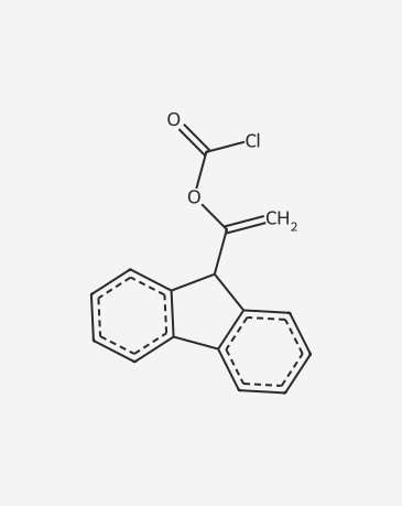 C=C(OC(=O)Cl)C1c2ccccc2-c2ccccc21